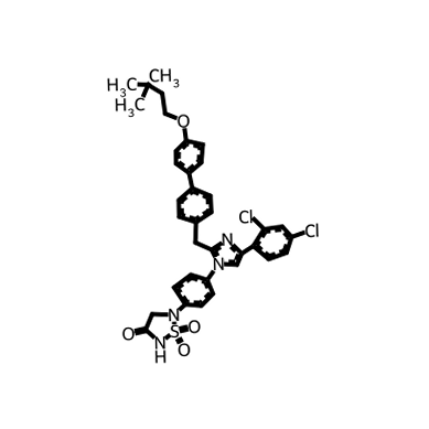 CC(C)(C)CCOc1ccc(-c2ccc(Cc3nc(-c4ccc(Cl)cc4Cl)cn3-c3ccc(N4CC(=O)NS4(=O)=O)cc3)cc2)cc1